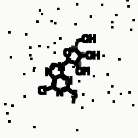 CSc1nc(Cl)c2ncn(C3O[C@H](CO)[C@@H](O)[C@H]3O)c2n1